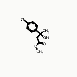 COC(=O)CC(C)(O)c1ccc(Cl)cc1